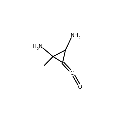 CC1(N)C(=C=O)C1N